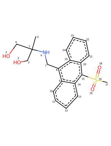 CC(CO)(CO)NCc1c2ccccc2c(S(C)(=O)=O)c2ccccc12